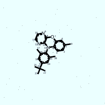 Cc1ccc2c(c1)Oc1nccnc1N2c1c(C)cc(C(C)(C)C)cc1C